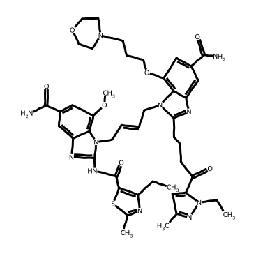 CCc1nc(C)sc1C(=O)Nc1nc2cc(C(N)=O)cc(OC)c2n1C/C=C/Cn1c(CCCC(=O)c2cc(C)nn2CC)nc2cc(C(N)=O)cc(OCCCN3CCOCC3)c21